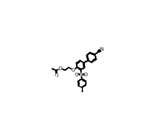 CC(=O)OCCOc1ccc(-c2ccc(C#N)cc2)cc1S(=O)(=O)c1ccc(C)cc1